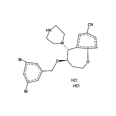 Cl.Cl.N#Cc1ccc2c(c1)[C@@H](N1CCNCC1)[C@H](OCc1cc(Br)cc(Br)c1)CCO2